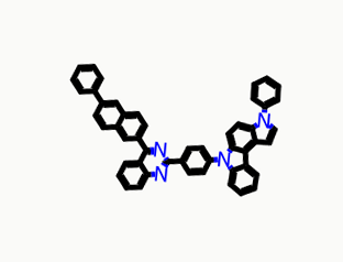 c1ccc(-c2ccc3cc(-c4nc(-c5ccc(-n6c7ccccc7c7c8ccn(-c9ccccc9)c8ccc76)cc5)nc5ccccc45)ccc3c2)cc1